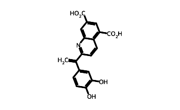 C=C(c1ccc(O)c(O)c1)c1ccc2c(C(=O)O)cc(C(=O)O)cc2n1